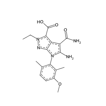 CCn1nc2c(c(C(N)=O)c(N)n2-c2c(C)ccc(OC)c2C)c1C(=O)O